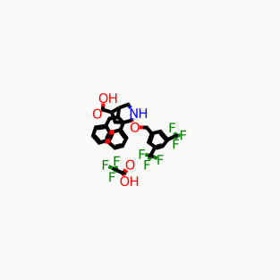 O=C(O)C(F)(F)F.O=C(O)C1CC2(c3ccccc3)C(OCc3cc(C(F)(F)F)cc(C(F)(F)F)c3)NCC1C2Cc1ccccc1